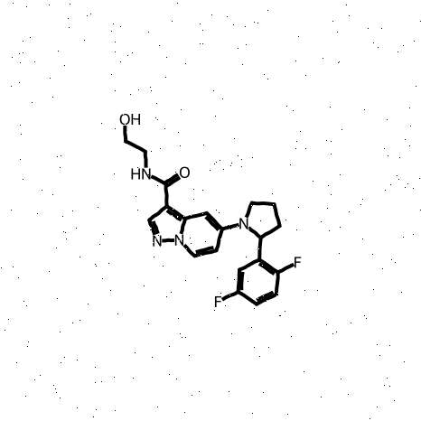 O=C(NCCO)c1cnn2ccc(N3CCCC3c3cc(F)ccc3F)cc12